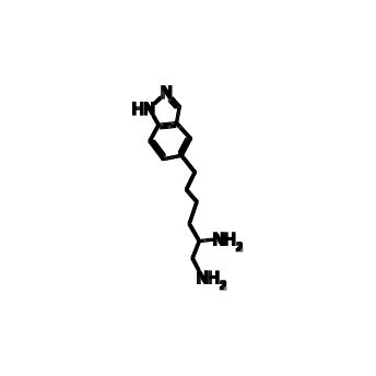 NCC(N)CCCCc1ccc2[nH]ncc2c1